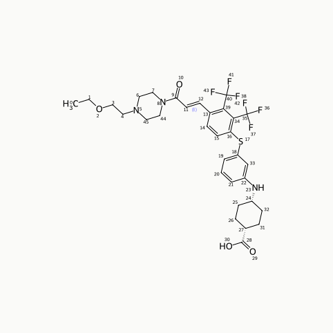 CCOCCN1CCN(C(=O)/C=C/c2ccc(Sc3cccc(N[C@H]4CC[C@@H](C(=O)O)CC4)c3)c(C(F)(F)F)c2C(F)(F)F)CC1